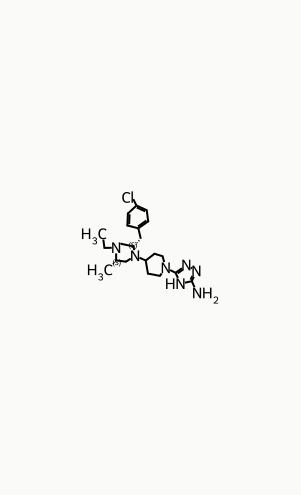 CCN1C[C@H](Cc2ccc(Cl)cc2)N(C2CCN(c3nnc(N)[nH]3)CC2)C[C@@H]1C